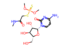 CNC(=O)CSP(=S)(OC)OC.Nc1ccn([C@@H]2O[C@H](CO)[C@@H](O)[C@@H]2O)c(=O)n1